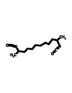 CC(CCCCCCCCC(C)N=C=O)N=C=O